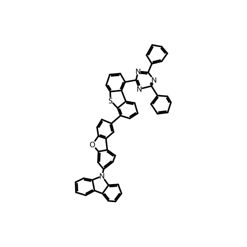 c1ccc(-c2nc(-c3ccccc3)nc(-c3cccc4sc5c(-c6ccc7oc8cc(-n9c%10ccccc%10c%10ccccc%109)ccc8c7c6)cccc5c34)n2)cc1